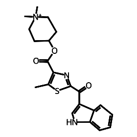 Cc1sc(C(=O)c2c[nH]c3ccccc23)nc1C(=O)OC1CC[N+](C)(C)CC1